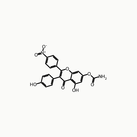 NC(=O)Oc1cc(O)c2c(=O)c(-c3ccc(O)cc3)c(-c3ccc([N+](=O)[O-])cc3)oc2c1